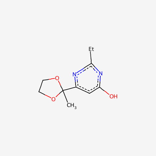 CCc1nc(O)cc(C2(C)OCCO2)n1